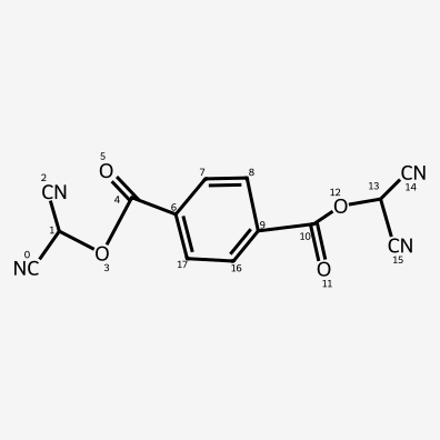 N#CC(C#N)OC(=O)c1ccc(C(=O)OC(C#N)C#N)cc1